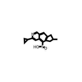 CC1Cc2cc3cnc(C4CC4)cc3c(S(=O)O)c2C1